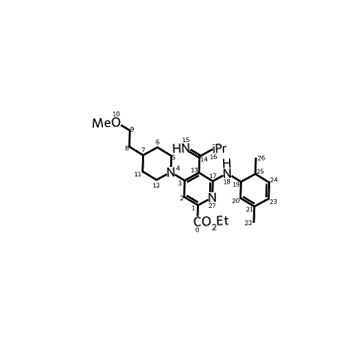 CCOC(=O)c1cc(N2CCC(CCOC)CC2)c(C(=N)C(C)C)c(NC2C=C(C)C=CC2C)n1